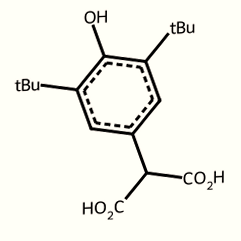 CC(C)(C)c1cc(C(C(=O)O)C(=O)O)cc(C(C)(C)C)c1O